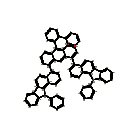 c1ccc(-c2ccccc2-c2c3cccc(-c4cccc5c4ccc4c6ccccc6n(-c6ccccc6)c54)c3cc3c(-c4cccc5c4ccc4c6ccccc6n(-c6ccccc6)c54)cccc23)cc1